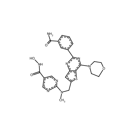 CN(Cc1cc2nc(-c3cccc(C(N)=O)c3)nc(N3CCOCC3)c2s1)c1ncc(C(=O)NO)cn1